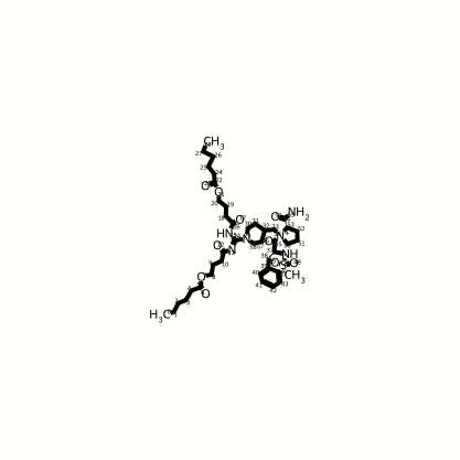 CCCCCC(=O)OCCCC(=O)N=C(NC(=O)CCCOC(=O)CCCCC)N1CCC(C[N+]2(C(=O)[C@@H](Cc3ccccc3)NS(C)(=O)=O)CCC[C@H]2C(N)=O)CC1